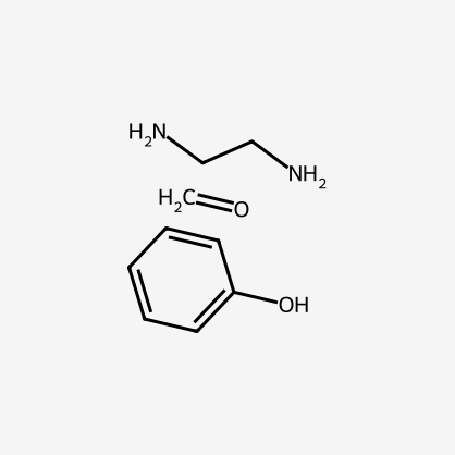 C=O.NCCN.Oc1ccccc1